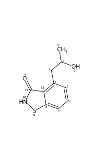 CC(O)Cc1cccc2s[nH]c(=O)c12